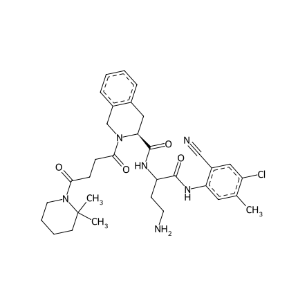 Cc1cc(NC(=O)C(CCN)NC(=O)[C@@H]2Cc3ccccc3CN2C(=O)CCC(=O)N2CCCCC2(C)C)c(C#N)cc1Cl